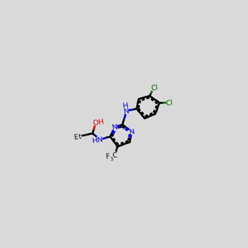 CCC(O)Nc1nc(Nc2ccc(Cl)c(Cl)c2)ncc1C(F)(F)F